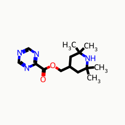 CC1(C)CC(COC(=O)c2ncncn2)CC(C)(C)N1